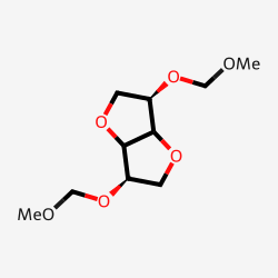 COCO[C@@H]1COC2C1OC[C@H]2OCOC